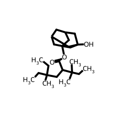 CCC(C)(CC)CC(C(=O)OC12CC3CC(CC(O)(C3)C1)C2)C(C)(C)CC